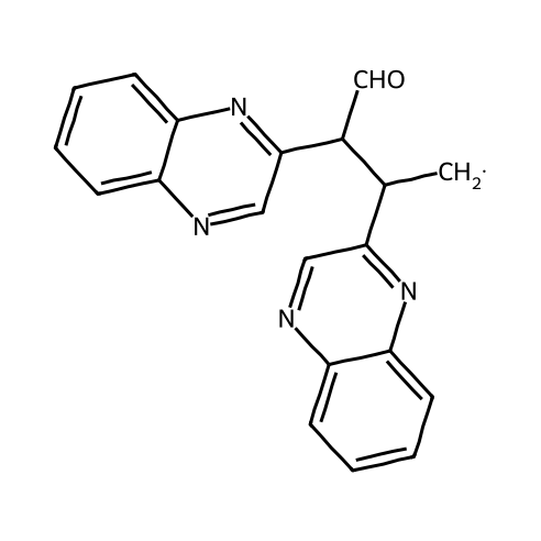 [CH2]C(c1cnc2ccccc2n1)C(C=O)c1cnc2ccccc2n1